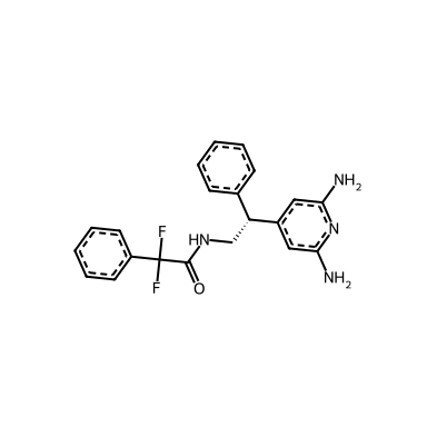 Nc1cc([C@H](CNC(=O)C(F)(F)c2ccccc2)c2ccccc2)cc(N)n1